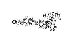 CC(C)(C)OC(=O)Nc1ccccc1NC(=O)c1ccc(CNc2nc3ccc(OCCCl)cc3s2)cc1